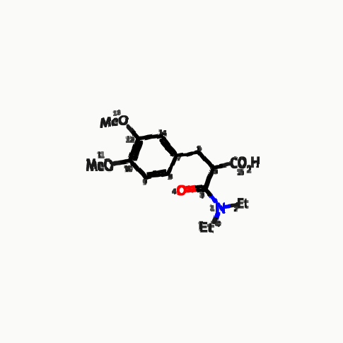 CCN(CC)C(=O)C(Cc1ccc(OC)c(OC)c1)C(=O)O